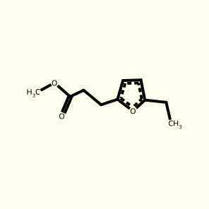 CCc1ccc(CCC(=O)OC)o1